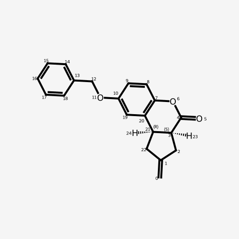 C=C1C[C@@H]2C(=O)Oc3ccc(OCc4ccccc4)cc3[C@@H]2C1